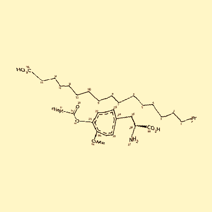 CC(C)CCCCCCCCCCCCCCCC(=O)O.CCCCCCCC(=O)Oc1ccc(C[C@H](N)C(=O)O)cc1OC